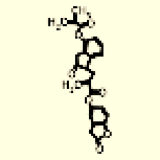 C=C(C)C(=O)Oc1cccc2c1CC(=O)C2CC(=C)C(=O)Oc1ccc2c(c1)CC(=O)O2